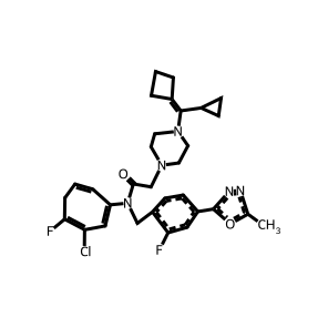 Cc1nnc(-c2ccc(CN(C(=O)CN3CCN(C(=C4CCC4)C4CC4)CC3)C3=CC(Cl)=C(F)CC=C3)c(F)c2)o1